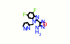 Nc1nonc1-c1nc2c(F)cc(F)cc2n1Cc1cccnn1